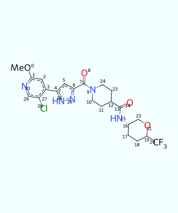 COc1cc(-c2cc(C(=O)N3CCC(C(=O)N[C@H]4CCC(C(F)(F)F)OC4)CC3)n[nH]2)c(Cl)cn1